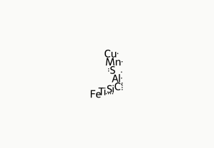 [Al].[C].[Cu].[Fe].[Mn].[S].[Si].[Ti]